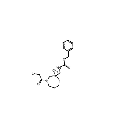 CC1(CNC(=O)OCc2ccccc2)CCCCN(C(=O)CCl)C1